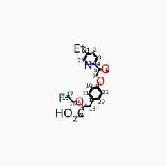 CCc1ccc(C(=O)COc2ccc(CC(OCCF)C(=O)O)cc2)nc1